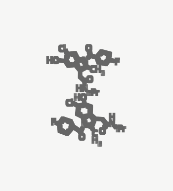 CCCNC(=O)Cc1c(C)n(C(=O)c2ccc(F)cc2)c2cc(Cl)c(O)cc12.Cc1c(CC(=O)NC(C)C)c2cc(O)c(Cl)cc2n1C(=O)c1ccc(F)cc1